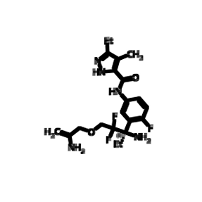 C=C(N)COCC(F)(F)[C@@](N)(CC)c1cc(NC(=O)c2[nH]nc(CC)c2C)ccc1F